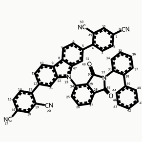 N#Cc1ccc(-c2ccc3c4ccc(-c5ccc(C#N)cc5C#N)cc4n(-c4cccc5c4C(=O)N(c4ccccc4-c4ccccc4)C5=O)c3c2)c(C#N)c1